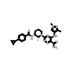 Cc1nn(C)cc1Nc1nc(N2CCC[C@@H](NC(=O)c3ccc(C4CC4)cc3)[C@H]2C)nnc1C(N)=O